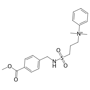 COC(=O)c1ccc(CNS(=O)(=O)CCC[N+](C)(C)c2ccccc2)cc1